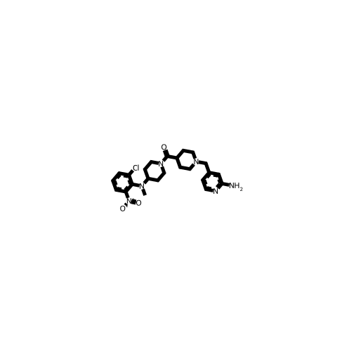 CN(c1c(Cl)cccc1[N+](=O)[O-])C1CCN(C(=O)C2CCN(Cc3ccnc(N)c3)CC2)CC1